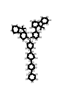 CC1(C)c2ccccc2-c2ccc(N(c3ccc(-c4ccc(-c5ccc(-c6ccccc6)cc5)cc4)cc3)c3cccc(-c4cccc5c4C(C)(C)c4ccccc4-5)c3)cc21